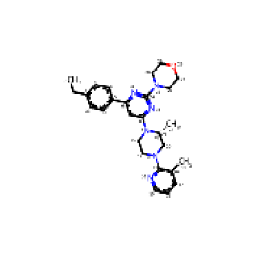 CCc1ccc(-c2cc(N3CCN(c4ncccc4C)C[C@H]3C)nc(N3CCOCC3)n2)cc1